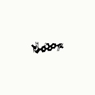 Cc1ncc(-c2ccc3c(c2)OCc2c-3ccc3cc(-c4cnc(C)[nH]4)ccc23)[nH]1